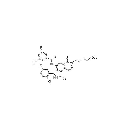 CCCCCCCCCCCCCCn1ccc2c3c(c(NC(=O)c4cc(F)cc(C(F)(F)F)c4)cc2c1=O)[C@H](c1cc(F)ccc1Cl)NC3=O